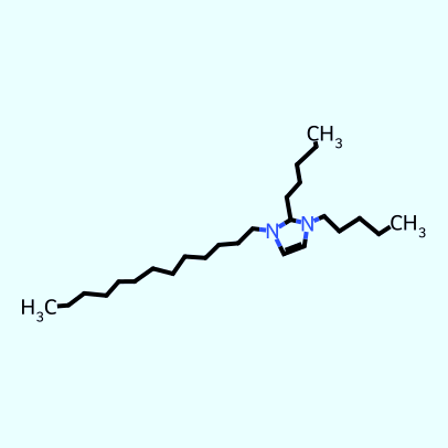 CCCCCCCCCCCCCN1C=CN(CCCCC)C1CCCCC